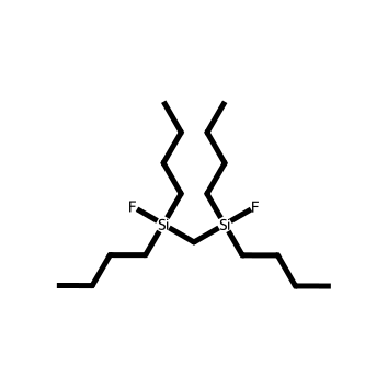 CCCC[Si](F)(CCCC)C[Si](F)(CCCC)CCCC